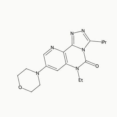 CCn1c(=O)n2c(C(C)C)nnc2c2ncc(N3CCOCC3)cc21